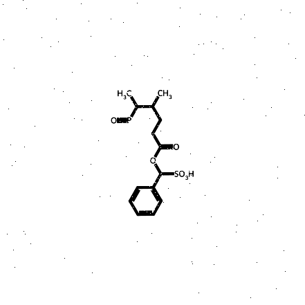 CC(CCC(=O)OC(c1ccccc1)S(=O)(=O)O)C(C)P=O